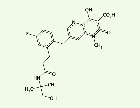 Cn1c(=O)c(C(=O)O)c(O)c2ncc(Cc3ccc(F)cc3CCC(=O)NC(C)(C)CO)cc21